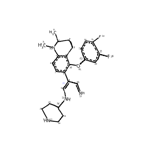 CC1CCc2c(ccc(/C(C=N)=C/NC3CCNCC3)c2Oc2ccc(F)c(F)c2)N1C